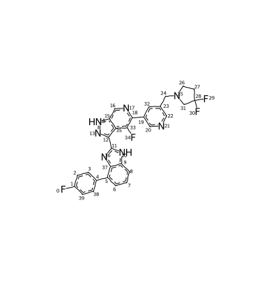 Fc1ccc(-c2cccc3[nH]c(-c4n[nH]c5cnc(-c6cncc(CN7CCC(F)(F)C7)c6)c(F)c45)nc23)cc1